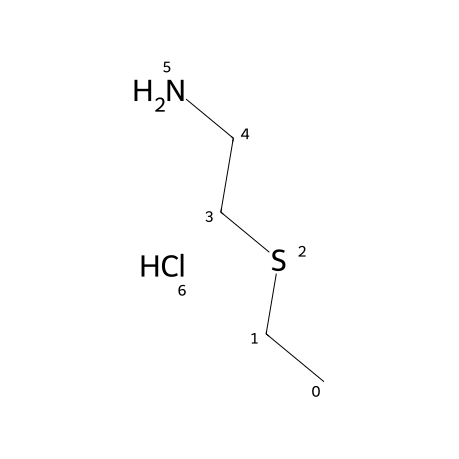 CCSCCN.Cl